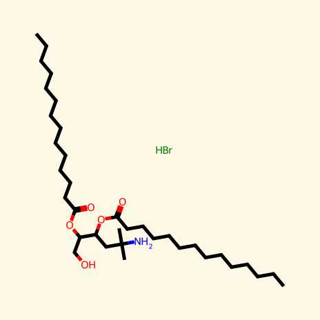 Br.CCCCCCCCCCCCCC(=O)OC(CO)C(CC(C)(C)N)OC(=O)CCCCCCCCCCCCC